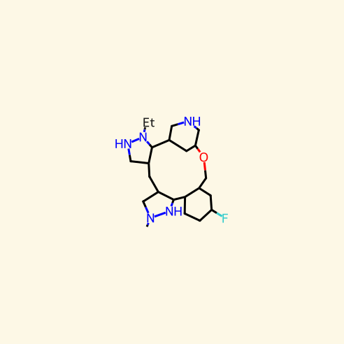 CCN1NCC2CC3CN(C)NC3C3CCC(F)CC3COC3CNCC(C3)C21